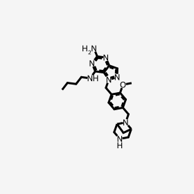 CCCCNc1nc(N)nc2cnn(Cc3ccc(CN4C5CNCC4C5)cc3OC)c12